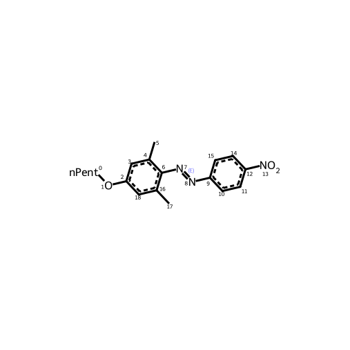 CCCCCOc1cc(C)c(/N=N/c2ccc([N+](=O)[O-])cc2)c(C)c1